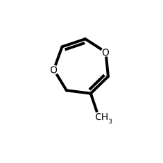 CC1=COC=COC1